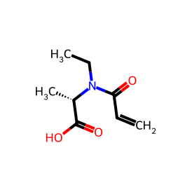 C=CC(=O)N(CC)[C@@H](C)C(=O)O